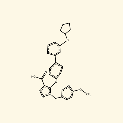 COc1ccc(Cn2nnc(C(=O)O)c2Oc2ccc(-c3cccc(OC4CCCC4)c3)cc2)cc1